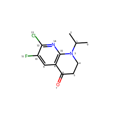 CC(C)N1CCC(=O)c2cc(F)c(Cl)nc21